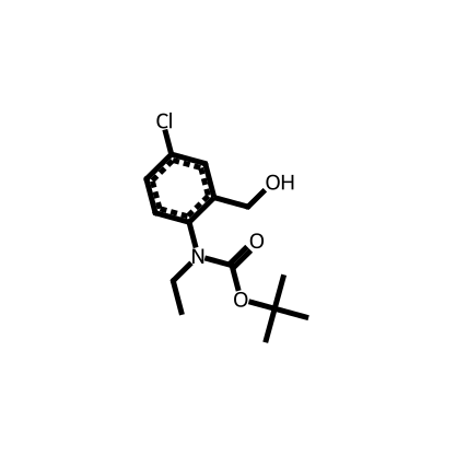 CCN(C(=O)OC(C)(C)C)c1ccc(Cl)cc1CO